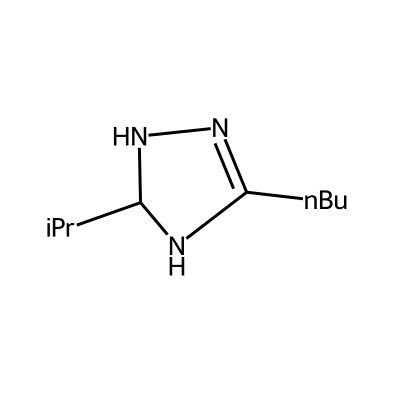 CCCCC1=NNC(C(C)C)N1